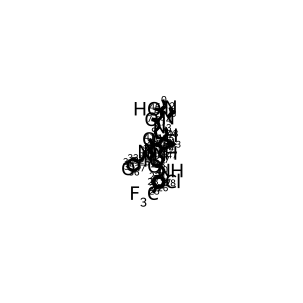 Cc1ncnc(C(=O)N2CCC3(CC2)c2c(n(CC(=O)Nc4ccc(C(F)(F)F)cc4Cl)c4nc(C5=CCOCC5)nn4c2=O)[C@@H]2C[C@@H]23)c1O